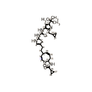 CN1/C=C\C(CCC2=CNC(NC(=O)Nc3cc(C(C)(C)C)nn3CC3CC3)S2)C#CCC1NC(=O)C1CC1